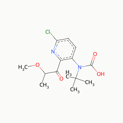 COC(C)C(=O)c1nc(Cl)ccc1N(C(=O)O)C(C)(C)C